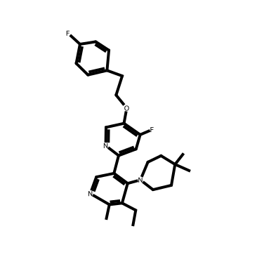 CCc1c(C)ncc(-c2cc(F)c(OCCc3ccc(F)cc3)cn2)c1N1CCC(C)(C)CC1